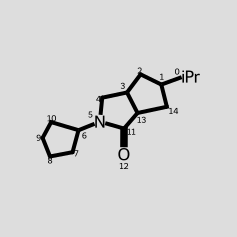 CC(C)C1CC2CN(C3CCCC3)C(=O)C2C1